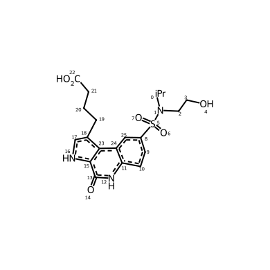 CC(C)N(CCO)S(=O)(=O)c1ccc2[nH]c(=O)c3[nH]cc(CCCC(=O)O)c3c2c1